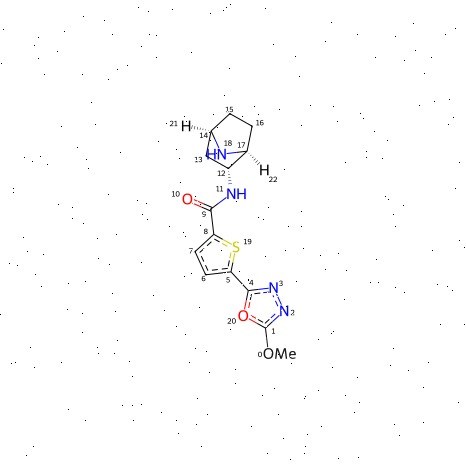 COc1nnc(-c2ccc(C(=O)N[C@@H]3C[C@H]4CC[C@@H]3N4)s2)o1